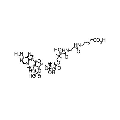 CC(C)(COP(=O)(O)OP(=O)(O)OC[C@H]1O[C@@H](n2cnc3c(N)ncnc32)[C@H](O)[C@@H]1OP(=O)(O)O)[C@@H](O)C(=O)NCCC(=O)NCCSCC(=O)O